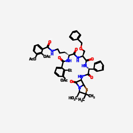 CCc1c(OC(C)=O)cccc1C(=O)N[C@H](CCCNC(=O)c1cccc(OC(C)=O)c1OC(C)=O)C(=O)N[C@@H](COCc1ccccc1)C(=O)N[C@@H](C(=O)N[C@@H]1C(=O)N2C1SC(C)(C)C2C(=O)O)c1ccccc1